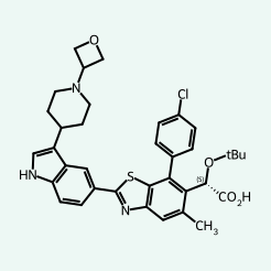 Cc1cc2nc(-c3ccc4[nH]cc(C5CCN(C6COC6)CC5)c4c3)sc2c(-c2ccc(Cl)cc2)c1[C@H](OC(C)(C)C)C(=O)O